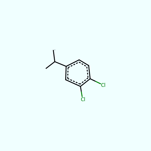 [CH2]C(C)c1ccc(Cl)c(Cl)c1